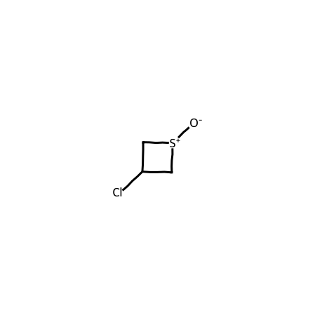 [O-][S+]1CC(Cl)C1